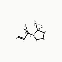 C=CC(=O)N1CCC[C@@H]1N